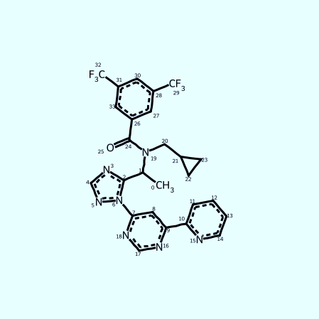 CC(c1ncnn1-c1cc(-c2ccccn2)ncn1)N(CC1CC1)C(=O)c1cc(C(F)(F)F)cc(C(F)(F)F)c1